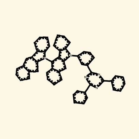 c1ccc(-c2nc(-c3ccccc3)nc(-c3cccc(-n4c5ccccc5c5c(-n6c7ccccc7c7cc8ccccc8cc76)c6ccccc6cc54)c3)n2)cc1